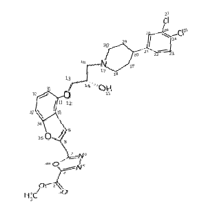 COC(=O)c1nnc(-c2cc3c(OC[C@@H](O)CN4CCC(c5ccc(Cl)c(Cl)c5)CC4)cccc3o2)o1